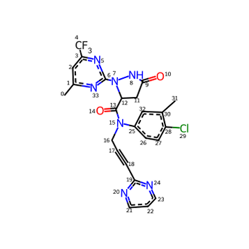 Cc1cc(C(F)(F)F)nc(N2NC(=O)CC2C(=O)N(CC#Cc2ncccn2)c2ccc(Cl)c(C)c2)n1